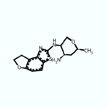 C[C@H]1C[C@@H](N)[C@@H](Nc2nc3c4c(ccc3s2)OCC4)CO1